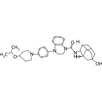 CC(C)OC1CCN(c2ccc(N3CCN(C(=O)NC4[C@@H]5CC6C[C@H]4CC(O)(C6)C5)c4ccccc43)cc2)CC1